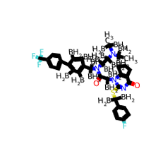 Bc1c(B)c(C(B)(B)N(C(=O)C(B)(B)n2c(SC(B)(B)c3ccc(F)cc3)nc(=O)c3c2CCC3)C(B)(B)C(B)(B)N(C(B)(B)C)C(B)(B)C)c(B)c(B)c1-c1ccc(C(F)(F)F)cc1